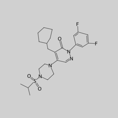 CC(C)S(=O)(=O)N1CCN(c2cnn(-c3cc(F)cc(F)c3)c(=O)c2CC2CCCCC2)CC1